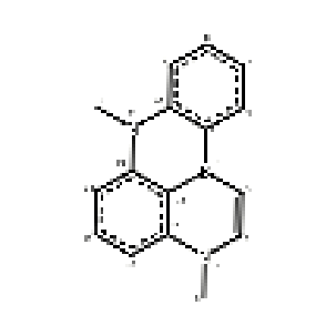 CN1C=CB2c3ccccc3N(C)c3cccc1c32